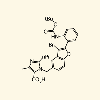 CCCc1nc(C)c(C(=O)O)n1Cc1ccc2oc(-c3ccccc3NC(=O)OC(C)(C)C)c(Br)c2c1